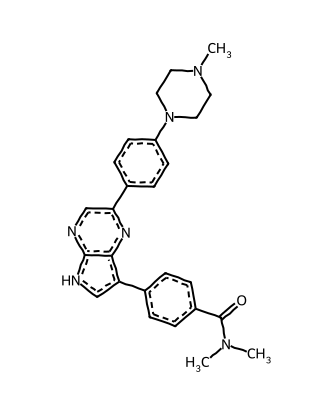 CN1CCN(c2ccc(-c3cnc4[nH]cc(-c5ccc(C(=O)N(C)C)cc5)c4n3)cc2)CC1